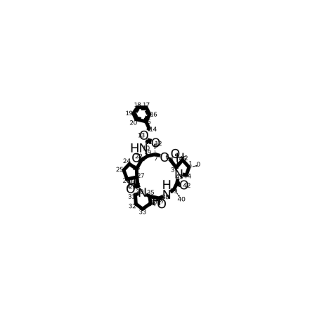 C[C@H]1C[C@H]2C(=O)O[C@@H](C)[C@H](NC(=O)OCc3ccccc3)C(=O)C3CCC[C@H]3C(=O)N3CCCC[C@H]3C(=O)N[C@@H](C)C(=O)N2C1